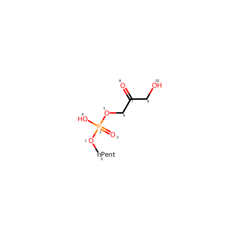 CCCCCOP(=O)(O)OCC(=O)CO